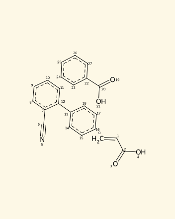 C=CC(=O)O.N#Cc1ccccc1-c1ccccc1.O=C(O)c1ccccc1